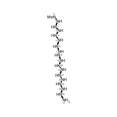 CNNNNNNNNNNNNNNNNNN